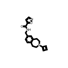 O=C(NCc1ccc2c(c1)CCN(C1=CC=C1)CC2)c1ccno1